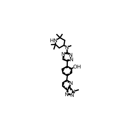 CN(c1ncc(-c2ccc(-c3ccc4nnn(C)c4n3)cc2O)nn1)C1CC(C)(C)NC(C)(C)C1